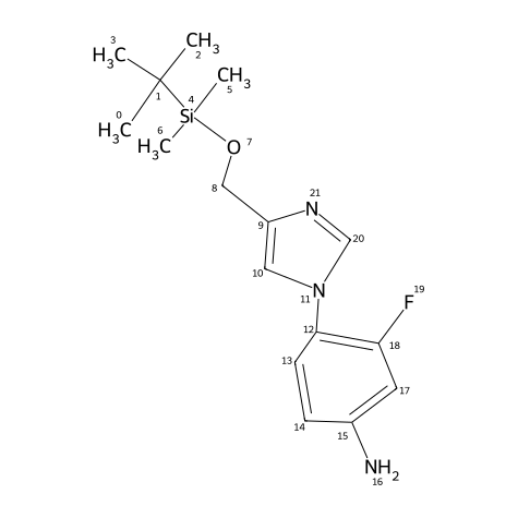 CC(C)(C)[Si](C)(C)OCc1cn(-c2ccc(N)cc2F)cn1